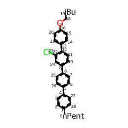 CCCCCc1ccc(-c2ccc(-c3ccc(-c4ccc(OCC(C)CC)cc4)c(Cl)c3)cc2)cc1